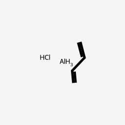 C=CC=C.Cl.[AlH3]